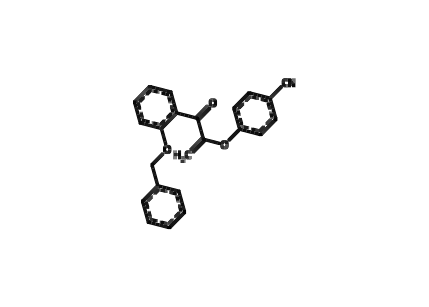 C=C(Oc1ccc(C#N)cc1)C(=O)c1ccccc1OCc1ccccc1